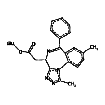 Cc1ccc2c(c1)C(c1ccccc1)=N[C@@H](CC(=O)OC(C)(C)C)c1nnc(C)n1-2